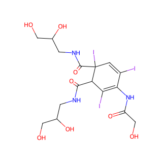 O=C(CO)NC1=C(I)C(C(=O)NCC(O)CO)C(I)(C(=O)NCC(O)CO)C=C1I